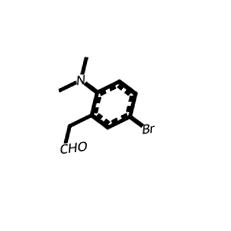 CN(C)c1ccc(Br)cc1CC=O